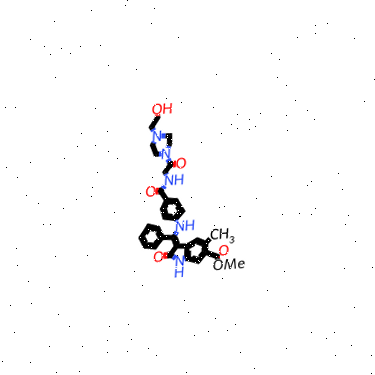 COC(=O)c1cc2c(cc1C)C(=C(Nc1ccc(C(=O)NCC(=O)N3CCN(CCO)CC3)cc1)c1ccccc1)C(=O)N2